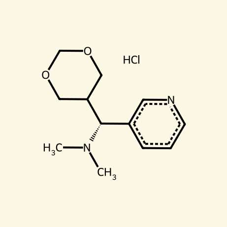 CN(C)[C@@H](c1cccnc1)C1COCOC1.Cl